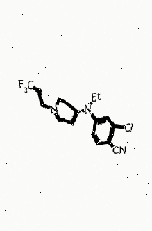 CCN(c1ccc(C#N)c(Cl)c1)[C@H]1CCN(CCC(F)(F)F)C1